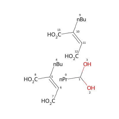 CCCC(O)O.CCCCC(=CC(=O)O)C(=O)O.CCCCC(=CC(=O)O)C(=O)O